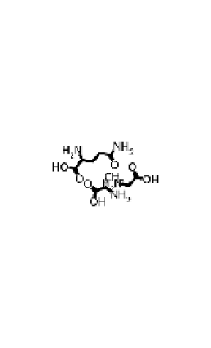 C[C@H](N)C(=O)O.NC(=O)CC[C@H](N)C(=O)O.NCC(=O)O